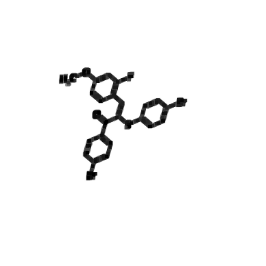 COc1ccc(/C=C(/Sc2ccc(Br)cc2)C(=O)c2ccc(Br)cc2)c(F)c1